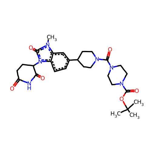 Cn1c(=O)n(C2CCC(=O)NC2=O)c2ccc(C3CCN(C(=O)N4CCN(C(=O)OC(C)(C)C)CC4)CC3)cc21